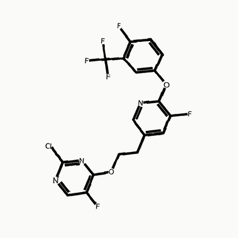 Fc1ccc(Oc2ncc(CCOc3nc(Cl)ncc3F)cc2F)cc1C(F)(F)F